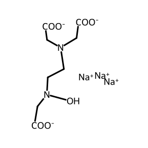 O=C([O-])CN(O)CCN(CC(=O)[O-])CC(=O)[O-].[Na+].[Na+].[Na+]